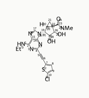 CCNc1nc(C#Cc2ccc(Cl)s2)nc2c1ncn2[C@@H]1[C@H]2C[C@]2(C(=O)NC)C(O)[C@@H]1O